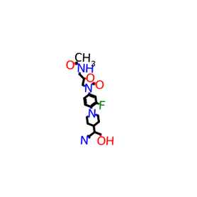 CC(=O)NCC1CN(c2ccc(N3CCC(C(C#N)CO)CC3)c(F)c2)C(=O)O1